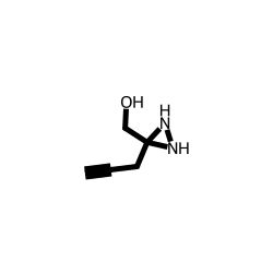 C#CCC1(CO)NN1